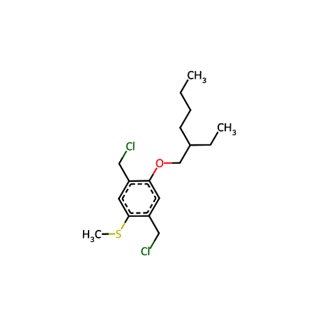 CCCCC(CC)COc1cc(CCl)c(SC)cc1CCl